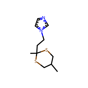 CC1CSC(C)(CCn2ccnc2)SC1